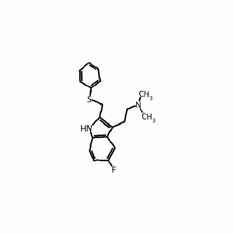 CN(C)CCc1c(CSc2ccccc2)[nH]c2ccc(F)cc12